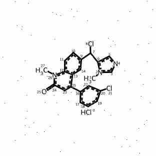 Cl.Cn1cncc1C(Cl)c1ccc2c(c1)c(-c1cccc(Cl)c1)cc(=O)n2C